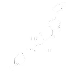 Cc1c(Nc2ccc(-c3cc[nH]n3)cc2)n[nH]c1NCc1ccc(O)cc1